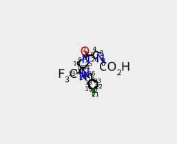 O=C(O)CN1CCC(C(=O)N2CCc3c(C(F)(F)F)nn(Cc4ccc(F)cc4)c3C2)C1